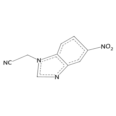 N#CCn1cnc2cc([N+](=O)[O-])ccc21